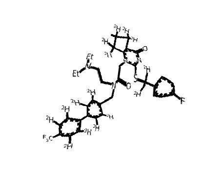 [2H]c1c([2H])c(-c2c([2H])c([2H])c(C(F)(F)F)c([2H])c2[2H])c([2H])c([2H])c1CN(CCN(CC)CC)C(=O)Cn1c(SC([2H])([2H])c2ccc(F)cc2)nc(=O)c2c1C([2H])([2H])C([2H])(C)C2([2H])[2H]